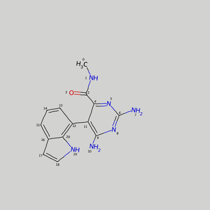 CNC(=O)c1nc(N)nc(N)c1-c1cccc2cc[nH]c12